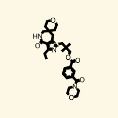 CCc1nn(CC(C)(C)COC(=O)c2cccc(C(=O)N3CCOCC3)c2)c2c1C(=O)NCC1(CCOCC1)C2